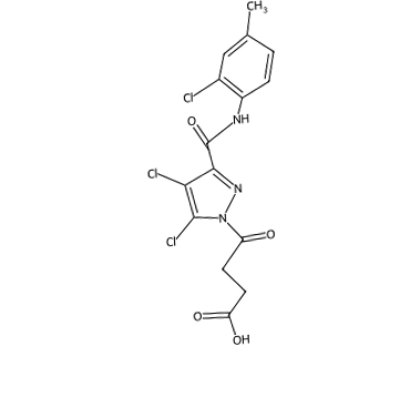 Cc1ccc(NC(=O)c2nn(C(=O)CCC(=O)O)c(Cl)c2Cl)c(Cl)c1